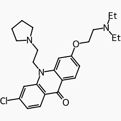 CCN(CC)CCOc1ccc2c(=O)c3ccc(Cl)cc3n(CCN3CCCC3)c2c1